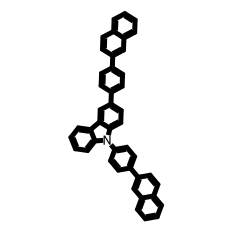 c1ccc2cc(-c3ccc(-c4ccc5c(c4)c4ccccc4n5-c4ccc(-c5ccc6ccccc6c5)cc4)cc3)ccc2c1